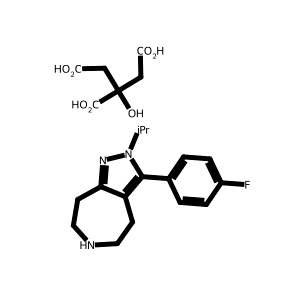 CC(C)n1nc2c(c1-c1ccc(F)cc1)CCNCC2.O=C(O)CC(O)(CC(=O)O)C(=O)O